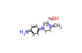 CN1CCN(c2ccc(N)cc2)C[C@@H]1CO